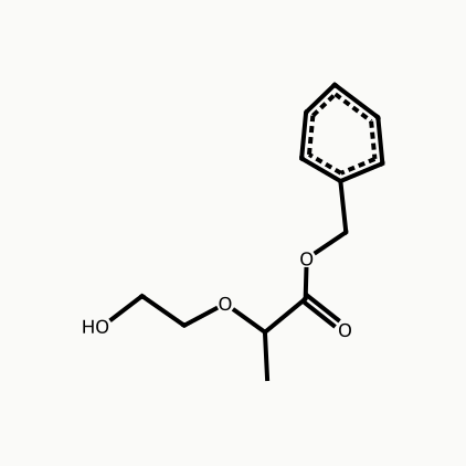 CC(OCCO)C(=O)OCc1ccccc1